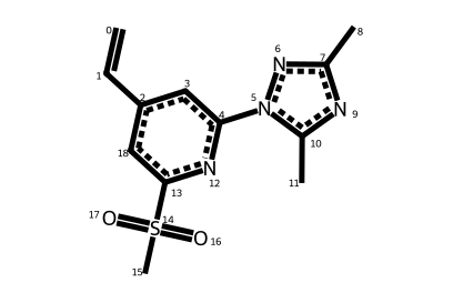 C=Cc1cc(-n2nc(C)nc2C)nc(S(C)(=O)=O)c1